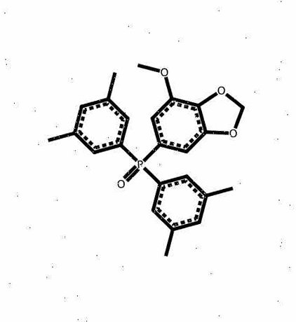 COc1cc(P(=O)(c2cc(C)cc(C)c2)c2cc(C)cc(C)c2)cc2c1OCO2